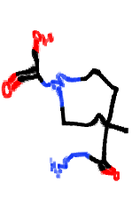 CC1(C(N)=O)CCN(C(=O)O)C1